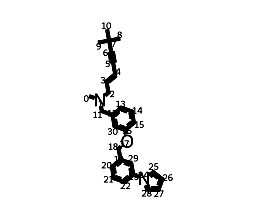 CN(C/C=C/C#CC(C)(C)C)Cc1cccc(OCc2cccc(-n3cccc3)c2)c1